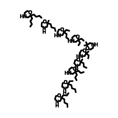 CC1(C)CNCCO1.CCC1(C)CNCCO1.CCC1(CC)CNCCO1.CCCC1(C)CNCCO1.CCCC1(CC)CNCCO1.CCCC1(CCC)CNCCO1.CCCCC1(C)CNCCO1.CCCCC1(CC)CNCCO1.CCCCC1(CCC)CNCCO1.CCCCC1(CCCC)CNCCO1